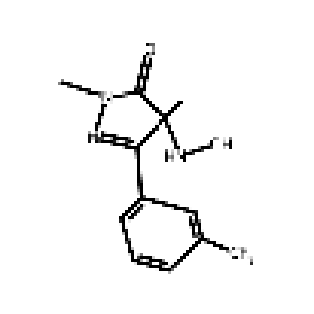 CN1N=C(c2cccc(C(F)(F)F)c2)C(C)(NO)C1=O